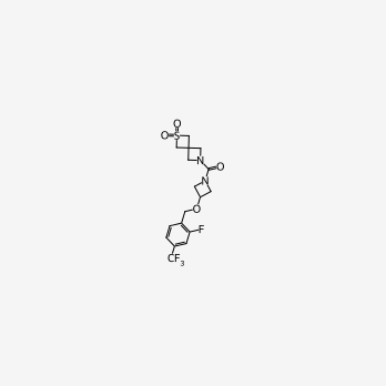 O=C(N1CC(OCc2ccc(C(F)(F)F)cc2F)C1)N1CC2(C1)CS(=O)(=O)C2